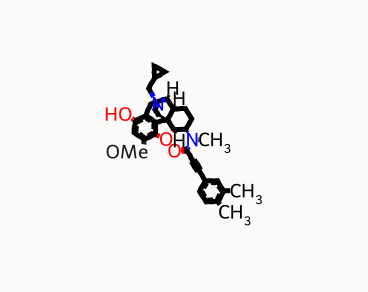 COc1cc(O)c2c3c1O[C@H]1[C@H](N(C)C(=O)C#Cc4ccc(C)c(C)c4)CC[C@H]4[C@@H](C2)N(CC2CC2)CC[C@@]341